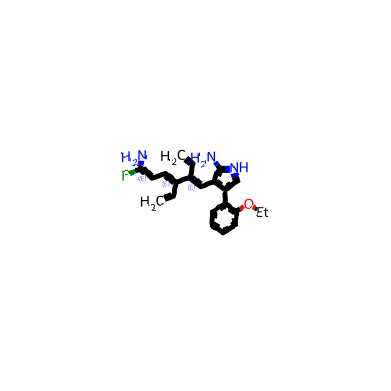 C=CC(=C\C=C(/N)F)/C(C=C)=C/c1c(-c2ccccc2OCC)c[nH]c1N